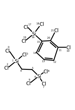 Cl[Si](Cl)(Cl)CC[Si](Cl)(Cl)Cl.Clc1cccc([Si](Cl)(Cl)Cl)c1Cl